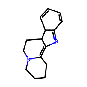 C1=CC2=NC3=C4CCCCN4CCC3C2C=C1